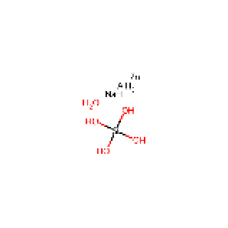 O.O[Si](O)(O)O.[AlH3].[NaH].[Zn]